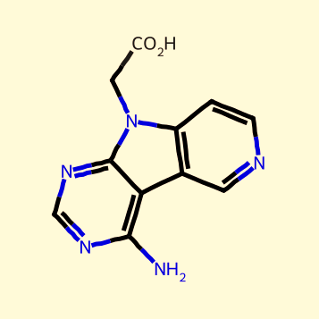 Nc1ncnc2c1c1cnccc1n2CC(=O)O